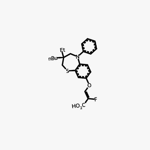 CCCCC1(CC)CSc2cc(O/C=C(\F)C(=O)O)ccc2N(c2ccccc2)C1